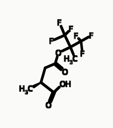 C[C@@H](CC(=O)OC(C)(C(F)(F)F)C(F)(F)F)C(=O)O